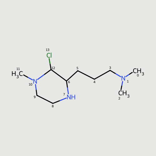 CN(C)CCCC1NCCN(C)C1Cl